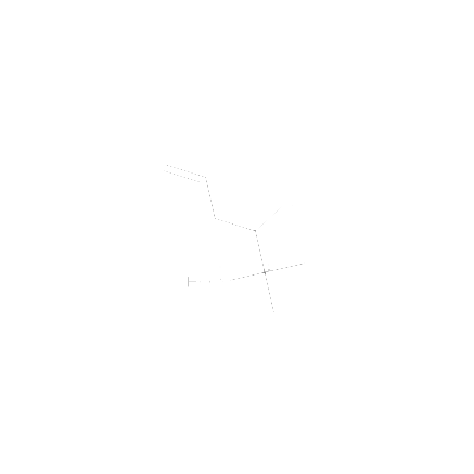 C=CCC(C)C(C)(C)S(=O)(=O)O